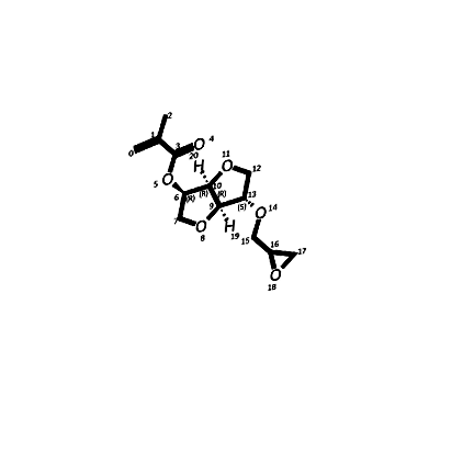 C=C(C)C(=O)O[C@@H]1CO[C@H]2[C@@H]1OC[C@@H]2OCC1CO1